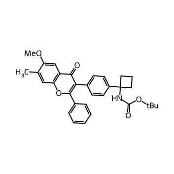 COc1cc2c(=O)c(-c3ccc(C4(NC(=O)OC(C)(C)C)CCC4)cc3)c(-c3ccccc3)oc2cc1C